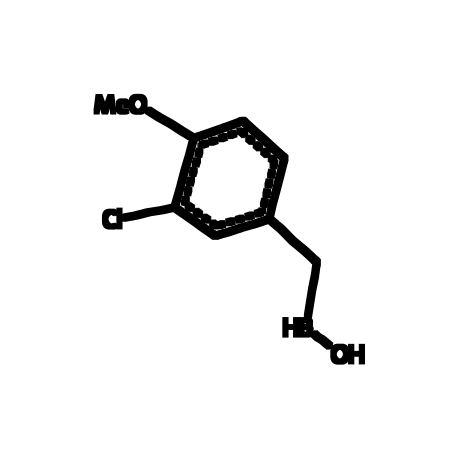 COc1ccc(CBO)cc1Cl